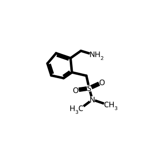 CN(C)S(=O)(=O)Cc1ccccc1CN